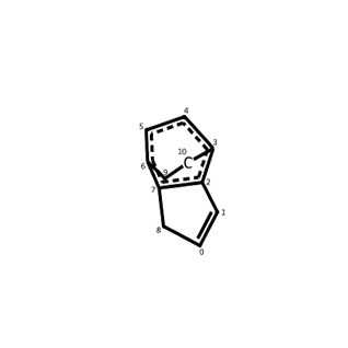 C1=Cc2c3ccc(c2C1)CC3